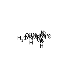 CN(C)CC(=O)Nc1cncc(-c2ccc3[nH]nc(-c4nc5c(-c6ccoc6)ccnc5[nH]4)c3n2)c1